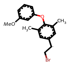 COc1cccc(Oc2c(C)cc([CH]CBr)cc2C)c1